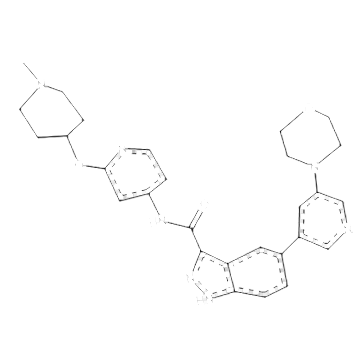 CN1CCC(Oc2cc(NC(=O)c3n[nH]c4ccc(-c5cncc(N6CCOCC6)c5)cc34)ccn2)CC1